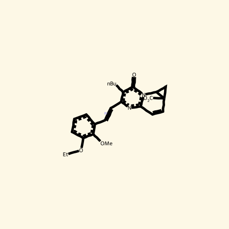 CCCCc1c(/C=C/c2cccc(OCC)c2OC)nc2n(c1=O)C1CC1(C(=O)O)C=C2